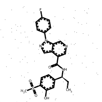 CC[C@H](NC(=O)c1cncc2c1cnn2-c1ccc(F)cc1)c1ccc(S(C)(=O)=O)c(O)c1